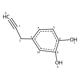 C#CCc1ccc(O)c(O)c1